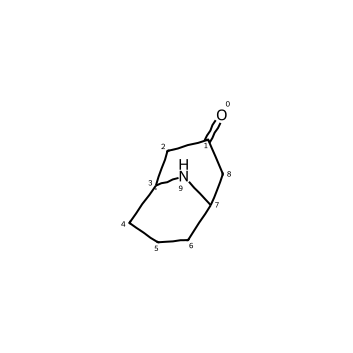 O=C1C[C]2CCCC(C1)N2